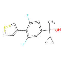 CC(O)(c1cc(F)c(-c2ccsc2)c(F)c1)C1CC1